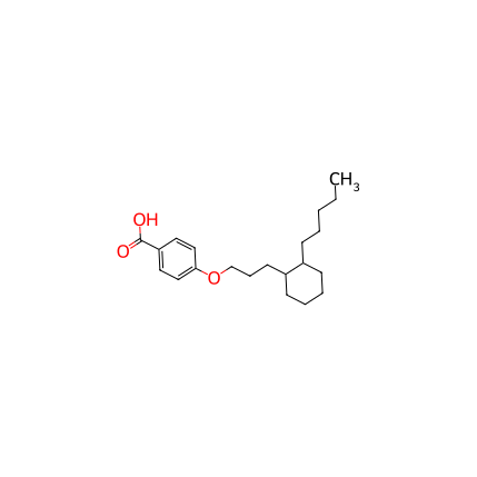 CCCCCC1CCCCC1CCCOc1ccc(C(=O)O)cc1